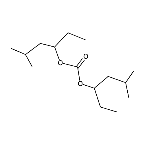 CCC(CC(C)C)OC(=O)OC(CC)CC(C)C